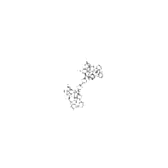 C=CCOc1ccc(C2(c3ccccc3)c3ccccc3-c3ccc(N(c4ccc(-c5ccc(N(c6ccc(C)c(F)c6)c6ccc7c(c6)C(c6ccccc6)(c6ccc(OCC=C)cc6)c6ccccc6-7)cc5)cc4)c4ccc(C)c(F)c4)cc32)cc1